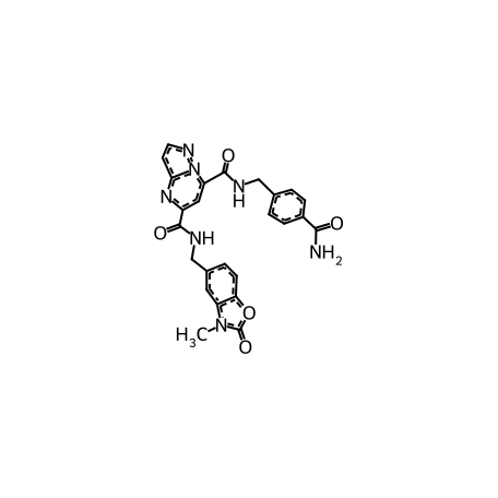 Cn1c(=O)oc2ccc(CNC(=O)c3cc(C(=O)NCc4ccc(C(N)=O)cc4)n4nccc4n3)cc21